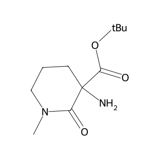 CN1CCCC(N)(C(=O)OC(C)(C)C)C1=O